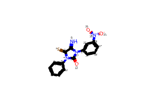 N=C1C(=S)N(c2ccccc2)C(=O)N1c1cccc([N+](=O)[O-])c1